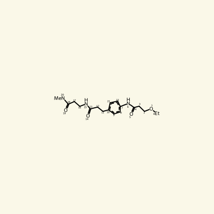 CCOCCC(=O)Nc1ccc(CCC(=O)NCCC(=O)NC)cc1